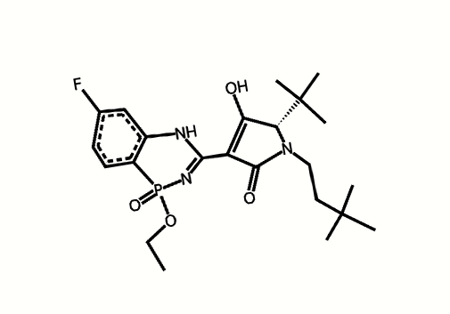 CCOP1(=O)N=C(C2=C(O)[C@H](C(C)(C)C)N(CCC(C)(C)C)C2=O)Nc2cc(F)ccc21